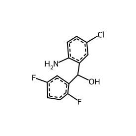 Nc1ccc(Cl)cc1C(O)c1cc(F)ccc1F